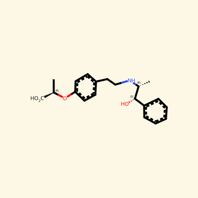 C[C@@H](Oc1ccc(CCN[C@H](C)[C@@H](O)c2ccccc2)cc1)C(=O)O